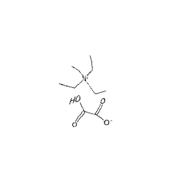 CC[N+](C)(CC)CC.O=C([O-])C(=O)O